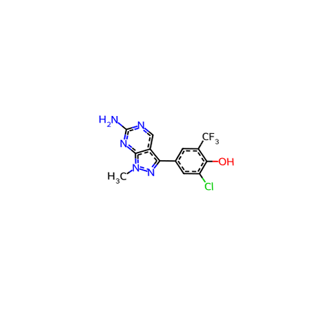 Cn1nc(-c2cc(Cl)c(O)c(C(F)(F)F)c2)c2cnc(N)nc21